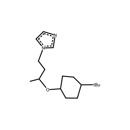 CC(CCn1ccnc1)OC1CCC(C(C)(C)C)CC1